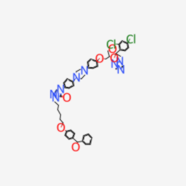 O=C(c1ccccc1)c1ccc(OCCCCCCn2ncn(-c3ccc(N4CCN(c5ccc(OCC6COC(Cn7cncn7)(c7ccc(Cl)cc7Cl)O6)cc5)CC4)cc3)c2=O)cc1